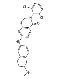 CN(C)C1CCc2cc(Nc3ncc4c(n3)SCN(c3c(Cl)cccc3Cl)C4=O)ccc2C1